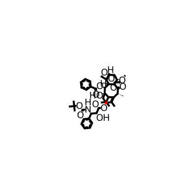 CO[C@H]1C[C@H]2OC[C@@]2(OC(C)=O)[C@H]2[C@H](OC(=O)c3ccccc3)[C@]3(O)C[C@H](OC(=O)[C@H](O)[C@@H](NC(=O)OC(C)(C)C)c4ccccc4)C(C)=C(C3C(C)C)[C@@H](C)C(=O)[C@]12C